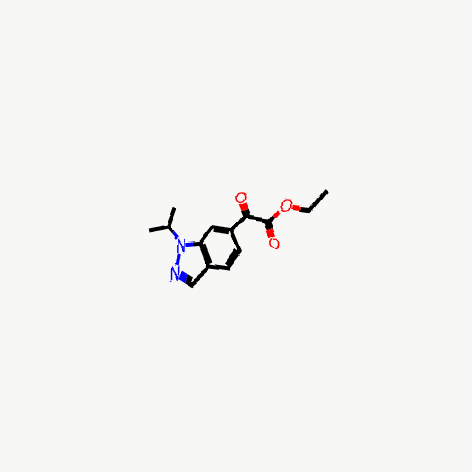 CCOC(=O)C(=O)c1ccc2cnn(C(C)C)c2c1